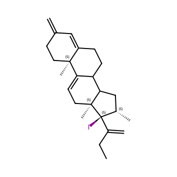 C=C1C=C2CCC3C(=CC[C@@]4(C)C3C[C@H](C)[C@]4(I)C(=C)CC)[C@@]2(C)CC1